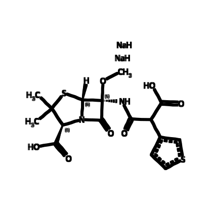 CO[C@@]1(NC(=O)C(C(=O)O)c2ccsc2)C(=O)N2[C@@H](C(=O)O)C(C)(C)S[C@@H]21.[NaH].[NaH]